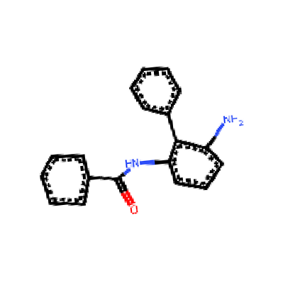 Nc1cccc(NC(=O)c2ccccc2)c1-c1ccccc1